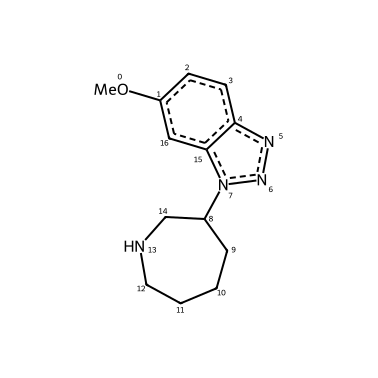 COc1ccc2nnn(C3CCCCNC3)c2c1